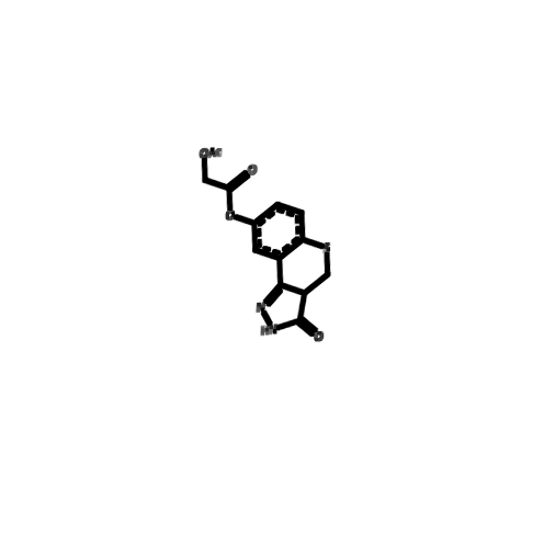 CC(=O)OCC(=O)Oc1ccc2c(c1)C1=NNC(=O)C1CS2